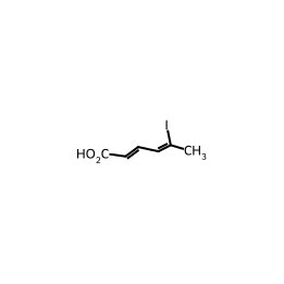 C/C(I)=C/C=C/C(=O)O